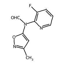 Cc1cc(N(C=O)c2ncc[c]c2F)on1